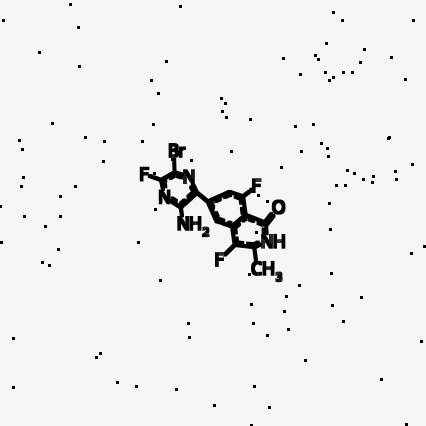 Cc1[nH]c(=O)c2c(F)cc(-c3nc(Br)c(F)nc3N)cc2c1F